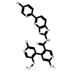 COc1cnc(Cl)cc1-c1cc(C)ncc1C(=O)Nc1nc2ccc(-c3ccc(Cl)cn3)nc2s1